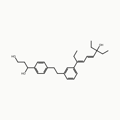 CC/C(=C\C=C\C(O)(CC)CC)c1cccc(CCc2ccc(C(O)CCO)cc2)c1